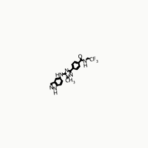 Cn1nc(-c2ccc(C(=O)NCC(F)(F)F)cc2)nc1Nc1ccc2[nH]ncc2c1